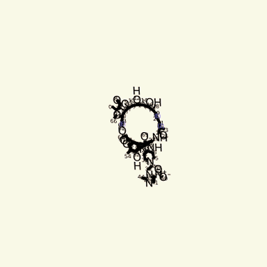 CCC[C@H]1[C@@H](OC(C)=O)[C@H](C)[C@H](O)[C@H](C)[C@@H](O)[C@@H](C)/C=C/C=C(/C)C(=O)NC2=C3NC4(CCN(CCn5c([N+](=O)[O-])cnc5C)CC4)N=C3c3c(c(O)c(C)c4c3C(=O)[C@@](C)(O/C=C/[C@@H]1OC)O4)C2=O